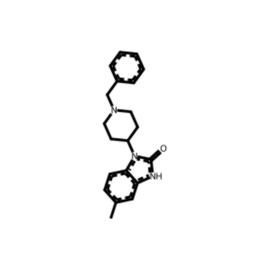 Cc1ccc2c(c1)[nH]c(=O)n2C1CCN(Cc2ccccc2)CC1